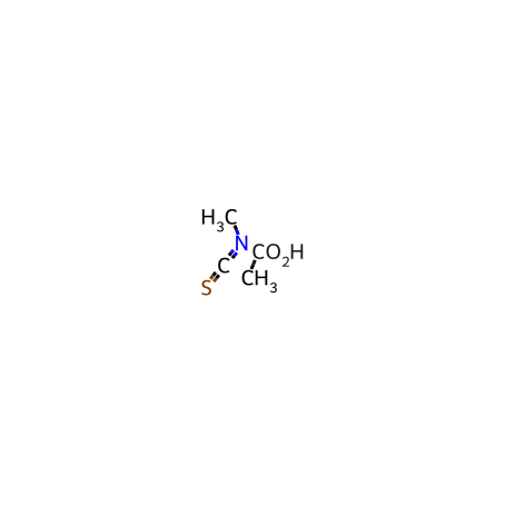 CC(=O)O.CN=C=S